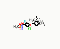 C[C@@H]1CC=C(COc2cc(F)c(C(=O)NS(C)(=O)=O)cc2Cl)[C@H](C)C1(C)C